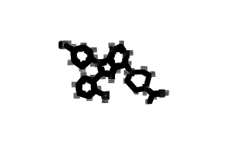 CC(=O)N1CCN(c2ncnc3c2nc(-c2ccccc2Cl)n3-c2ccc(Cl)cc2)CC1